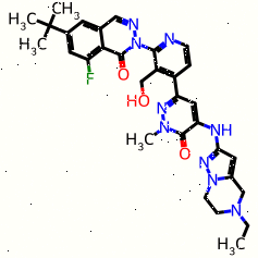 CCN1CCn2nc(Nc3cc(-c4ccnc(-n5ncc6cc(C(C)(C)C)cc(F)c6c5=O)c4CO)nn(C)c3=O)cc2C1